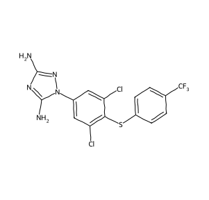 Nc1nc(N)n(-c2cc(Cl)c(Sc3ccc(C(F)(F)F)cc3)c(Cl)c2)n1